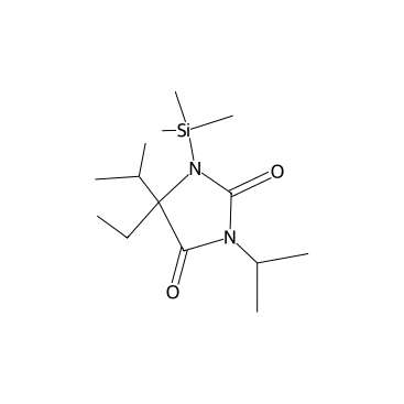 CCC1(C(C)C)C(=O)N(C(C)C)C(=O)N1[Si](C)(C)C